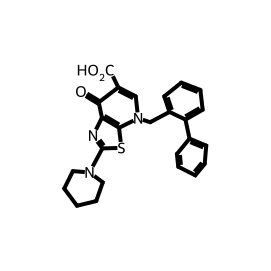 O=C(O)c1cn(Cc2ccccc2-c2ccccc2)c2sc(N3CCCCC3)nc2c1=O